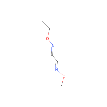 CCO/N=[C]/C=NOC